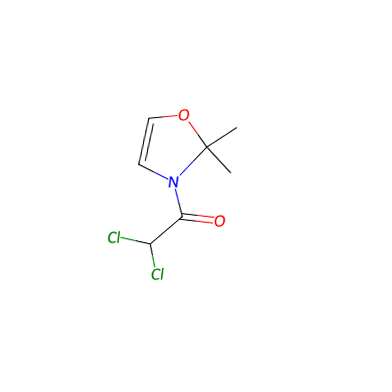 CC1(C)OC=CN1C(=O)C(Cl)Cl